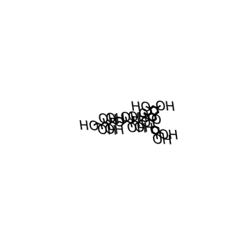 O=c1c(OCC(O)/C(O)=C(\O)C(O)COCC(O)/C(O)=C(\O)C(O)CO)c(-c2ccc(O)c(O)c2)oc2cc(O)cc(O)c12